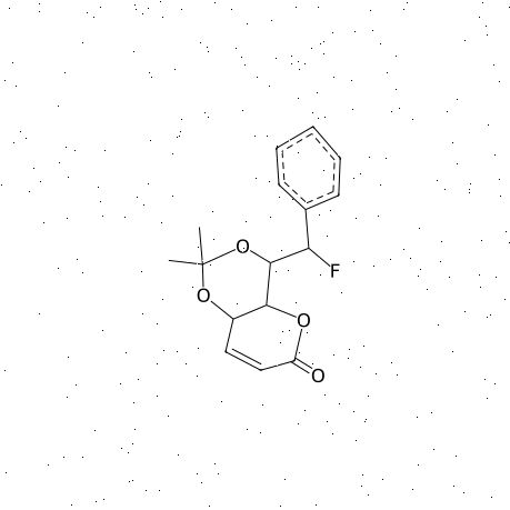 CC1(C)OC2C=CC(=O)OC2C(C(F)c2ccccc2)O1